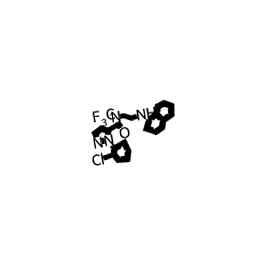 O=C(c1ccnn1-c1ccccc1Cl)N(CCNc1cccc2ccccc12)C(F)(F)F